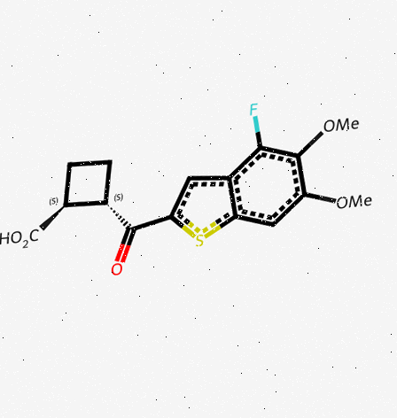 COc1cc2sc(C(=O)[C@H]3CC[C@@H]3C(=O)O)cc2c(F)c1OC